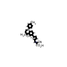 Cc1ccc(N2CCC(C)(C)c3cc(-c4ccc(/C=C(\C#N)C(=O)O)s4)ccc32)cc1